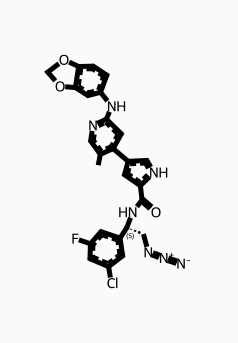 Cc1cnc(Nc2ccc3c(c2)OCO3)cc1-c1c[nH]c(C(=O)N[C@H](CN=[N+]=[N-])c2cc(F)cc(Cl)c2)c1